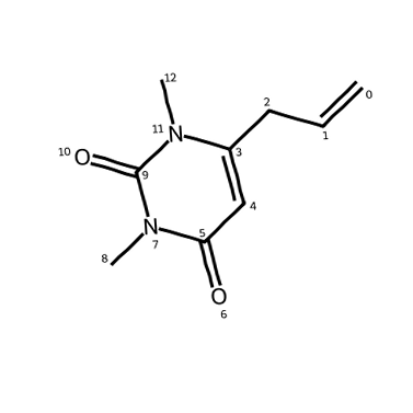 C=CCc1cc(=O)n(C)c(=O)n1C